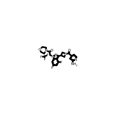 Nc1cc(C(=O)N2CC(c3nn(CC(=O)N4CCOC[C@H]4C(F)(F)F)c4cc(F)cc(F)c34)C2)ccn1